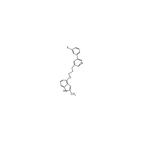 Cc1cc2c(OC[CH]Cc3cncc(-c4cccc(F)c4)c3)cccc2[nH]1